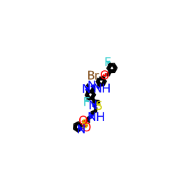 O=S(=O)(CCNCCc1nc(-c2cc3c(Nc4ccc(OCc5cccc(F)c5)c(Br)c4)ncnc3cc2F)cs1)c1ccccn1